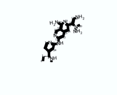 CC[C@@H](NC)c1ccnc(Nc2cc3cc(/C(=C/N)N(C)N)nc(N)c3cn2)c1